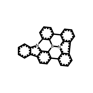 c1cc2c3c(c1)-n1c4ccccc4c4ccc5c(c41)B3n1c3c-2cccc3c2cccc-5c21